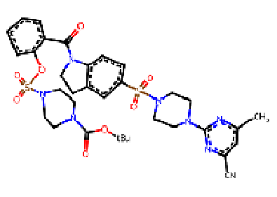 Cc1cc(C#N)nc(N2CCN(S(=O)(=O)c3ccc4c(c3)CCN4C(=O)c3ccccc3OS(=O)(=O)N3CCN(C(=O)OC(C)(C)C)CC3)CC2)n1